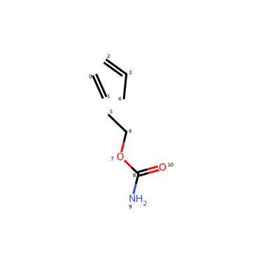 C=C.C=CC.CCOC(N)=O